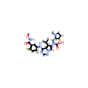 CONC(=O)c1cc(Nc2ncnn3cc(N(C[C@@H]4CCCN4C)C(=O)O)c(C(C)C)c23)c(F)cc1F